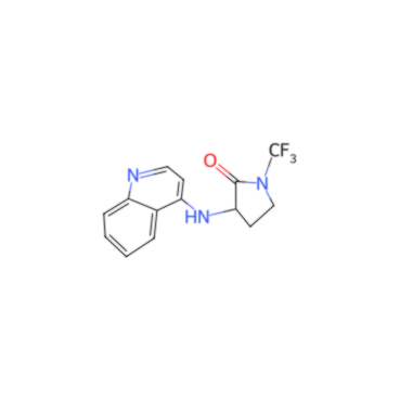 O=C1C(Nc2ccnc3ccccc23)CCN1C(F)(F)F